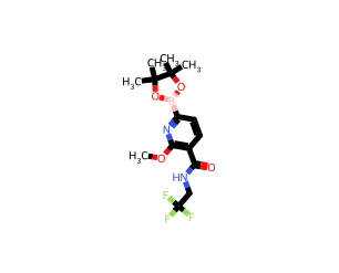 COc1nc(B2OC(C)(C)C(C)(C)O2)ccc1C(=O)NCC(F)(F)F